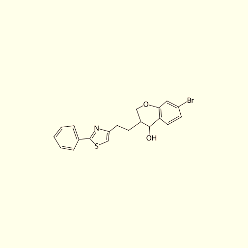 OC1c2ccc(Br)cc2OCC1CCc1csc(-c2ccccc2)n1